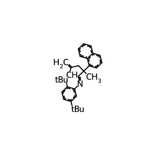 C=C(C)CC(C)(C=Nc1cc(C(C)(C)C)ccc1C(C)(C)C)c1cccc2ccccc12